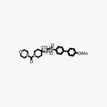 COc1ccc(-c2ccc(S(=O)(=O)CNC3(C(=O)O)CCN(C(=O)N4CCOCC4)CC3)cc2)cc1